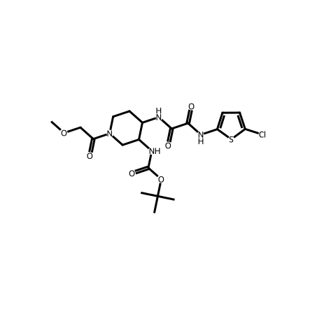 COCC(=O)N1CCC(NC(=O)C(=O)Nc2ccc(Cl)s2)C(NC(=O)OC(C)(C)C)C1